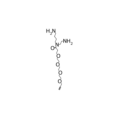 C#CCOCCOCCOCCOCCC(=O)N(CCN)CCCCN